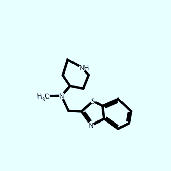 CN(Cc1nc2ccccc2s1)C1CCNCC1